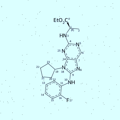 CCOC(=O)[C@@H](C)Nc1ncc2nc(Nc3ccccc3F)n(C3CCCC3)c2n1